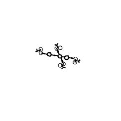 C=C(C)C(=O)OC#Cc1ccc(C#Cc2cc(C#COC(=O)C(=C)C)c(-c3ccc(C#COC(=O)C(=C)C)cc3)cc2C#COC(=O)C(=C)C)cc1